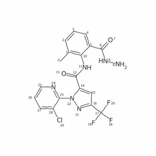 Cc1cccc(C(=O)NN)c1NC(=O)c1cc(C(F)(F)F)nn1-c1ncccc1Cl